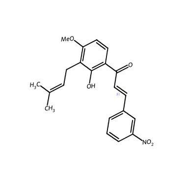 COc1ccc(C(=O)/C=C/c2cccc([N+](=O)[O-])c2)c(O)c1CC=C(C)C